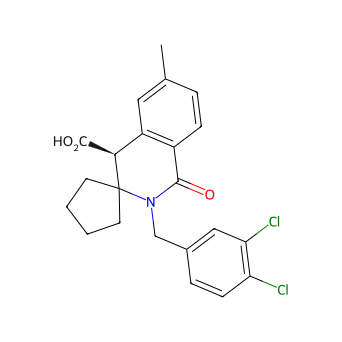 Cc1ccc2c(c1)[C@H](C(=O)O)C1(CCCC1)N(Cc1ccc(Cl)c(Cl)c1)C2=O